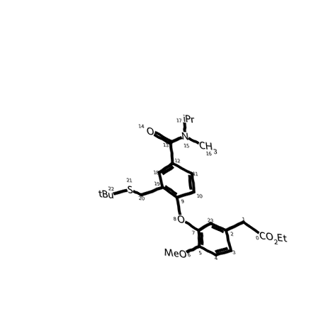 CCOC(=O)Cc1ccc(OC)c(Oc2ccc(C(=O)N(C)C(C)C)cc2CSC(C)(C)C)c1